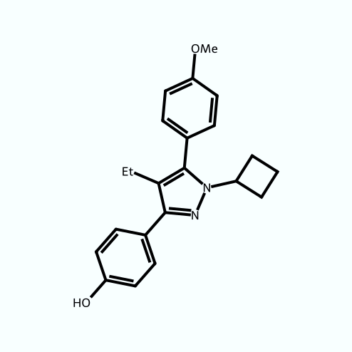 CCc1c(-c2ccc(O)cc2)nn(C2CCC2)c1-c1ccc(OC)cc1